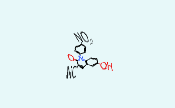 N#Cc1cc2cc(O)ccc2n(-c2ccc([N+](=O)[O-])cc2)c1=O